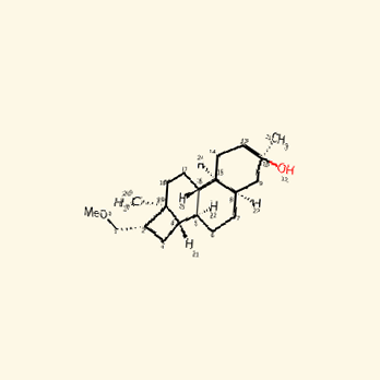 COC[C@H]1C[C@H]2[C@@H]3CC[C@@H]4C[C@](C)(O)CC[C@@H]4[C@H]3CC[C@]12C